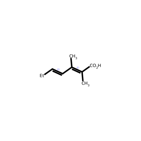 CC/C=C/C(C)=C(\C)C(=O)O